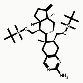 C=C1CC[C@H]2[C@H](CO[Si](C)(C)C(C)(C)C)[C@@H]([C@@]3(C)Cc4cnc(N)nc4C[C@@H]3CO[Si](C)(C)C(C)(C)C)CC[C@]12C